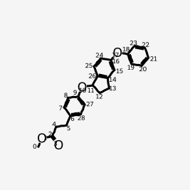 COC(=O)CCc1ccc(OC2CCc3cc(Oc4ccccc4)ccc32)cc1